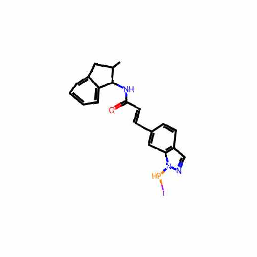 CC1Cc2ccccc2C1NC(=O)/C=C/c1ccc2cnn(PI)c2c1